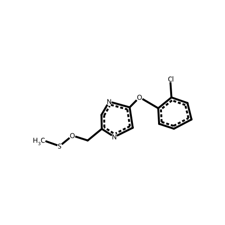 CSOCc1cnc(Oc2ccccc2Cl)cn1